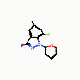 Cc1cc(F)c2c(c1)c(I)nn2C1CCCCO1